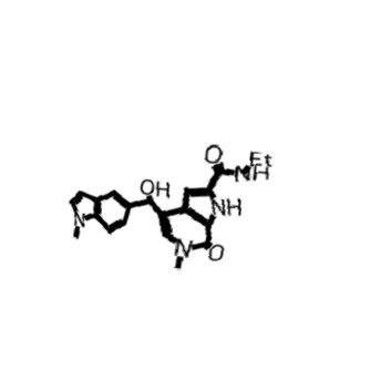 CCNC(=O)c1cc2c(C(O)c3ccc4c(ccn4C)c3)cn(C)c(=O)c2[nH]1